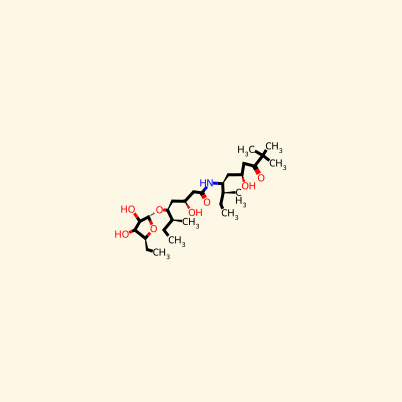 CC[C@@H]1O[C@@H](O[C@@H](C[C@H](O)CC(=O)N[C@@H](C[C@H](O)CC(=O)C(C)(C)C)[C@@H](C)CC)[C@@H](C)CC)C(O)C1O